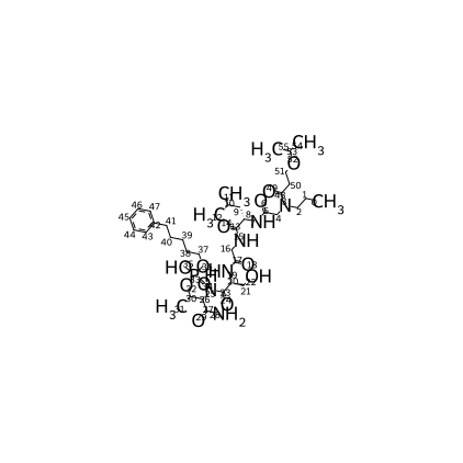 CCCN(CC(=O)N[C@@H](CC(C)C)C(=O)NCC(=O)N[C@@H](CO)C(=O)N[C@H](C(N)=O)[C@@H](C)OP(=O)(O)OCCCCCc1ccccc1)C(=O)CCOC(C)C